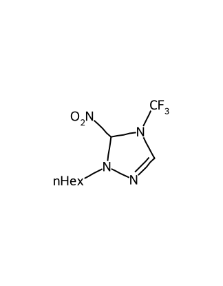 CCCCCCN1N=CN(C(F)(F)F)C1[N+](=O)[O-]